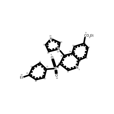 CCOC(=O)c1ccc2ncc(S(=O)(=O)c3ccc(CC)cc3)c(-n3ccnc3)c2c1